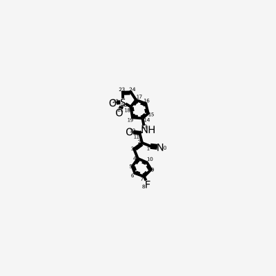 N#CC(=Cc1ccc(F)cc1)C(=O)Nc1ccc2c(c1)S(=O)(=O)C=C2